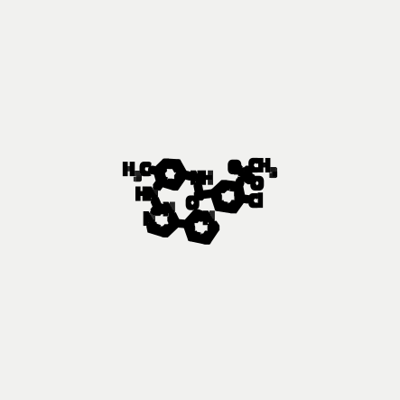 Cc1ccc(NC(=O)c2ccc(Cl)c(S(C)(=O)=O)c2)cc1Nc1nccc(-c2cccnc2)n1